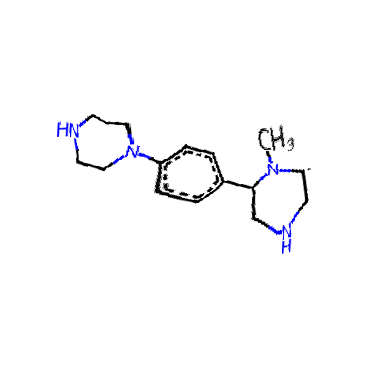 CN1[CH]CNCC1c1ccc(N2CCNCC2)cc1